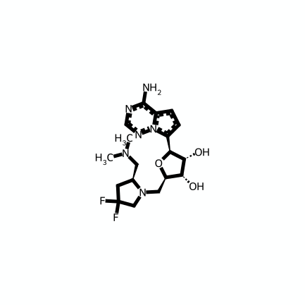 CN(C)C[C@@H]1CC(F)(F)CN1C[C@H]1O[C@@H](c2ccc3c(N)ncnn23)[C@H](O)[C@@H]1O